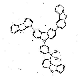 CC1(C)c2cc(-n3c4ccc(-c5ccc6sc7ccccc7c6c5)cc4c4cc(-c5cccc6c5sc5ccccc56)ccc43)ccc2-c2ccc3sc4ccccc4c3c21